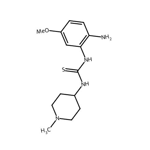 COc1ccc(N)c(NC(=S)NC2CCN(C)CC2)c1